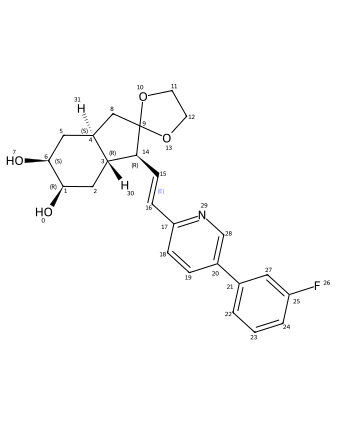 O[C@@H]1C[C@@H]2[C@@H](C[C@@H]1O)CC1(OCCO1)[C@H]2/C=C/c1ccc(-c2cccc(F)c2)cn1